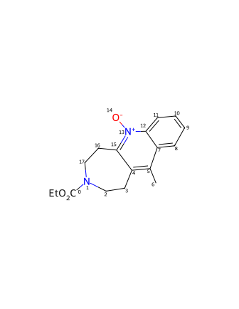 CCOC(=O)N1CCc2c(C)c3ccccc3[n+]([O-])c2CC1